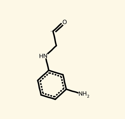 Nc1cccc(NC[C]=O)c1